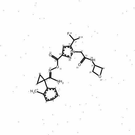 Cc1ccccc1C1(/C(N)=N/OC(=O)c2cc(C(F)F)n(CC(=O)NC3COC3)n2)CC1